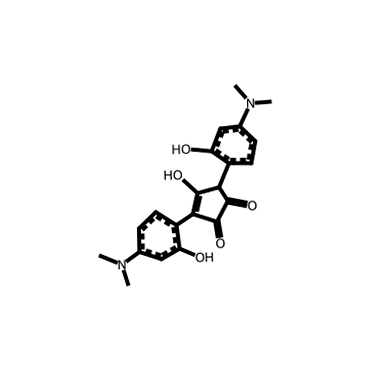 CN(C)c1ccc(C2=C(O)C(c3ccc(N(C)C)cc3O)C(=O)C2=O)c(O)c1